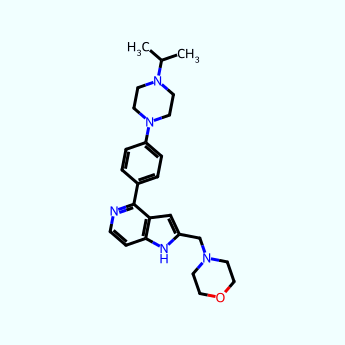 CC(C)N1CCN(c2ccc(-c3nccc4[nH]c(CN5CCOCC5)cc34)cc2)CC1